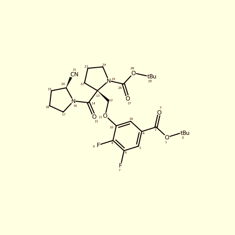 CC(C)(C)OC(=O)c1cc(F)c(F)c(OC[C@@]2(C(=O)N3CCC[C@H]3C#N)CCCN2C(=O)OC(C)(C)C)c1